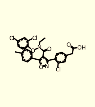 CCN(Oc1ccc(Cl)cc1Cl)C(=O)c1c(-c2ccc(CC(=O)O)cc2Cl)noc1-c1ccc(C)cc1